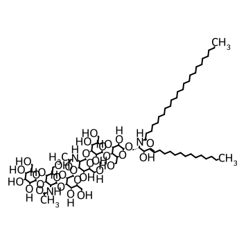 CCCCCCCCCCCCC/C=C/[C@@H](O)[C@H](CO[C@@H]1OC(CO)[C@@H](O[C@@H]2OC(CO)[C@H](O)[C@H](O[C@@H]3OC(CO)[C@@H](O)[C@H](O[C@@H]4OC(CO)[C@H](O)[C@H](O[C@@H]5OC(CO)[C@@H](O)[C@H](O[C@@H]6OC(CO)[C@H](O)[C@H](O)C6O)C5NC(C)=O)C4O)C3NC(C)=O)C2O)[C@H](O)C1O)NC(=O)CCCCCCCCCCCCCCCCCCCCCCC